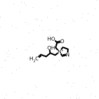 C=CCC(O)C[N+]1(CC(=O)O)C=NCC1